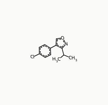 CC(C)c1nocc1-c1ccc(Cl)cc1